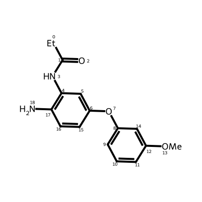 CCC(=O)Nc1cc(Oc2cccc(OC)c2)ccc1N